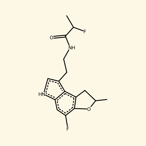 CC1Cc2c(c(F)cc3[nH]cc(CCNC(=O)C(C)F)c23)O1